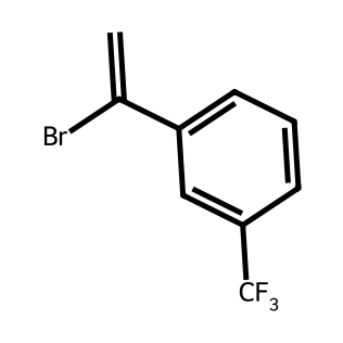 C=C(Br)c1cccc(C(F)(F)F)c1